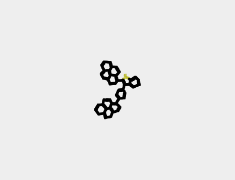 C1=Cc2ccc3c(-c4ccc(-c5c(-c6ccc7ccc8cccc9ccc6c7c89)sc6ccccc56)cc4)ccc4c3c2C(=CC4)C1